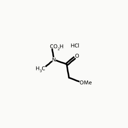 COCC(=O)N(C)C(=O)O.Cl